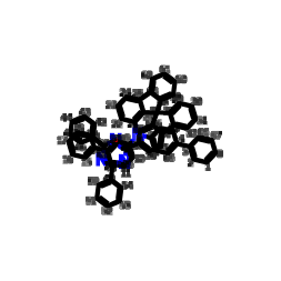 c1ccc(-c2ccc(N(c3cccc(-c4ccccc4)c3)c3cccc4c3C3(c5ccccc5-c5ccc(-c6nc(-c7ccccc7)nc(-c7ccccc7)n6)cc53)c3ccccc3-4)cc2)cc1